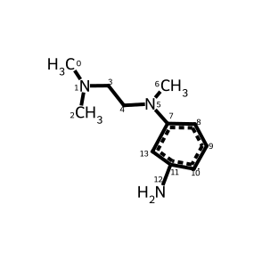 CN(C)CCN(C)c1cc[c]c(N)c1